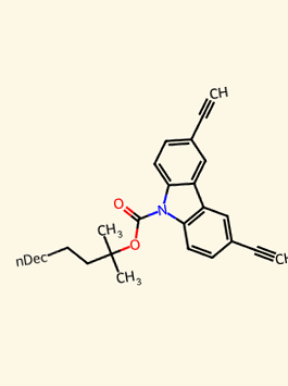 C#Cc1ccc2c(c1)c1cc(C#C)ccc1n2C(=O)OC(C)(C)CCCCCCCCCCCC